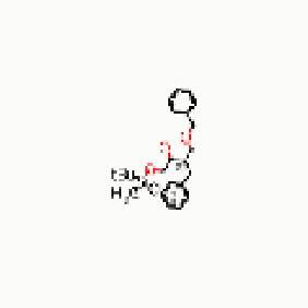 CC(C)(C)[Si](C)(C)OCC(=O)[C@@H](COCc1ccccc1)Cc1ccccc1